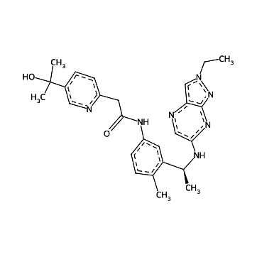 CCn1cc2ncc(N[C@@H](C)c3cc(NC(=O)Cc4ccc(C(C)(C)O)cn4)ccc3C)nc2n1